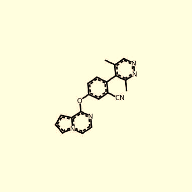 Cc1cnnc(C)c1-c1ccc(Oc2nccn3cccc23)cc1C#N